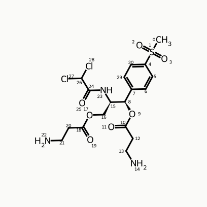 CS(=O)(=O)c1ccc([C@@H](OC(=O)CCN)[C@@H](COC(=O)CCN)NC(=O)C(Cl)Cl)cc1